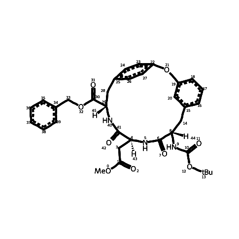 COC(=O)C[C@@H]1NC(=O)[C@@H](NC(=O)OC(C)(C)C)Cc2cccc(c2)Oc2ccc(cc2)C[C@@H](C(=O)OCc2ccccc2)NC1=O